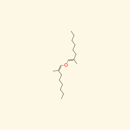 CCCCCCC(C)=COC=C(C)CCCCCC